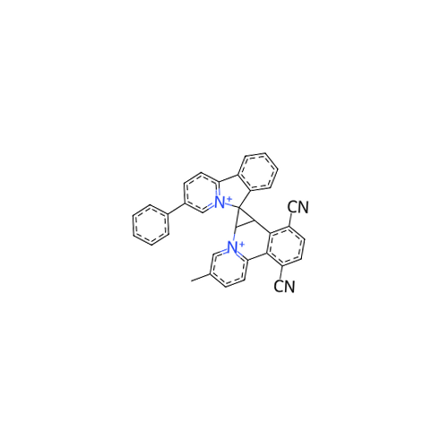 Cc1ccc2[n+](c1)C1C(c3c(C#N)ccc(C#N)c3-2)C12c1ccccc1-c1ccc(-c3ccccc3)c[n+]12